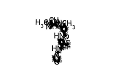 Cc1ccc(C(=O)Nc2ccc(CNCCN3CCOCC3)c(C(F)(F)F)c2)cc1-n1cc(-c2cnn(C)c2C)nn1